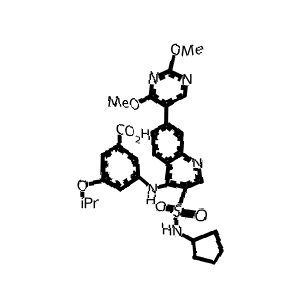 COc1ncc(-c2ccc3c(Nc4cc(OC(C)C)cc(C(=O)O)c4)c(S(=O)(=O)NC4CCCC4)cnc3c2)c(OC)n1